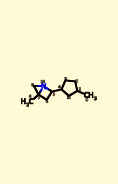 CC1CCC(C2CC3(C)CN23)C1